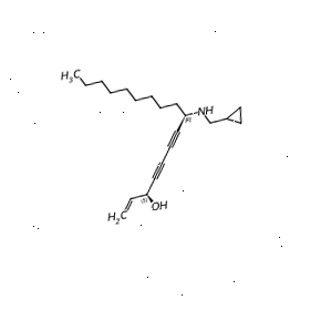 C=C[C@H](O)C#CC#C[C@@H](CCCCCCCCC)NCC1CC1